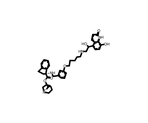 O=C(OC1CN2CCC1CC2)[C@@]1(NCc2cccc(OCCCCCNCC(O)c3ccc(O)c4[nH]c(=O)ccc34)c2)CCc2ccccc21